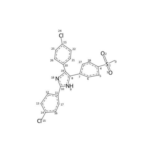 CS(=O)(=O)c1ccc(-c2[nH]c(-c3ccc(Cl)cc3)nc2-c2ccc(Cl)cc2)cc1